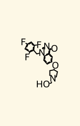 O=c1ncn(Cc2c(F)cc(F)cc2F)c2ccc(OC3CCN(CO)CC3)cc12